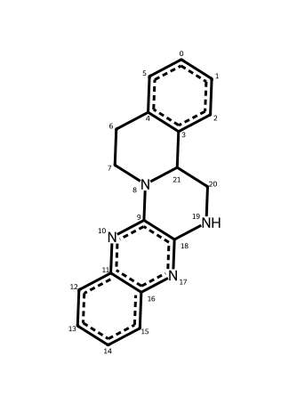 c1ccc2c(c1)CCN1c3nc4ccccc4nc3NCC21